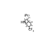 CC(C)Cc1c[nH]c2cc(C(F)(F)F)ccc12